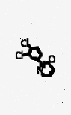 O=c1cccnn1-c1ccc(Cl)c(Cl)c1